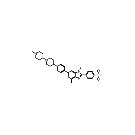 Cc1cc(-c2ccc(C3CCN(C4CCN(C)CC4)CC3)cc2)cc2c1nc(-c1ccc(S(C)(=O)=O)cc1)n2C